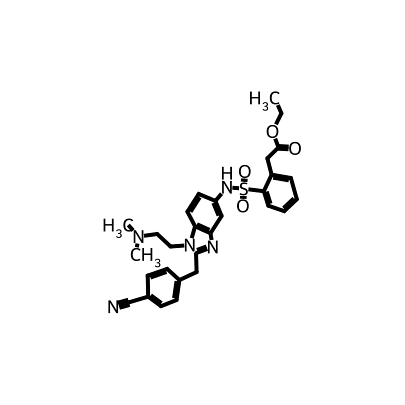 CCOC(=O)Cc1ccccc1S(=O)(=O)Nc1ccc2c(c1)nc(Cc1ccc(C#N)cc1)n2CCN(C)C